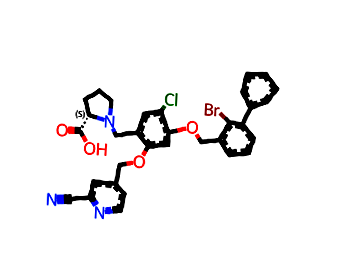 N#Cc1cc(COc2cc(OCc3cccc(-c4ccccc4)c3Br)c(Cl)cc2CN2CCC[C@H]2C(=O)O)ccn1